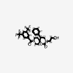 O=C1OC2(CCN(C(=O)c3cc(C(F)(F)F)cc(C(F)(F)F)c3)CC2)C(c2ccccc2)CN1CCO